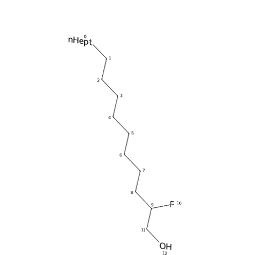 CCCCCCCCCCCCCCCC(F)CO